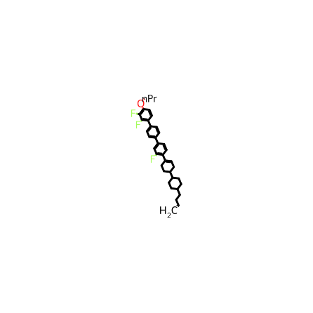 C=CCCC1CCC(C2CC=C(c3ccc(-c4ccc(-c5ccc(OCCC)c(F)c5F)cc4)cc3F)CC2)CC1